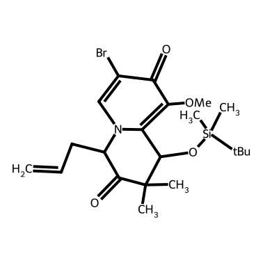 C=CCC1C(=O)C(C)(C)C(O[Si](C)(C)C(C)(C)C)c2c(OC)c(=O)c(Br)cn21